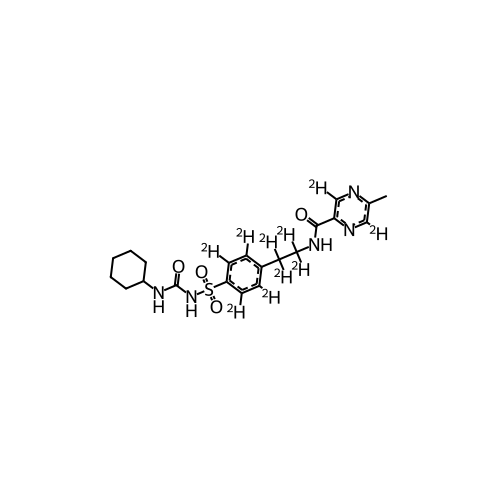 [2H]c1nc(C(=O)NC([2H])([2H])C([2H])([2H])c2c([2H])c([2H])c(S(=O)(=O)NC(=O)NC3CCCCC3)c([2H])c2[2H])c([2H])nc1C